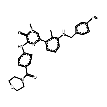 Cc1c(NCc2ccc(C(C)(C)C)cc2)cccc1-c1cn(C)c(=O)c(Nc2ccc(C(=O)N3CCOCC3)cc2)n1